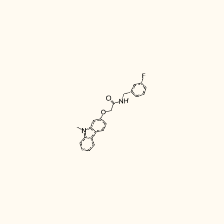 Cn1c2ccccc2c2ccc(OCC(=O)NCc3cccc(F)c3)cc21